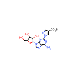 CCOC(=O)c1cnn(-c2nc(N)c3ncn([C@@H]4OC(CO)[C@@H](O)[C@H]4O)c3n2)c1